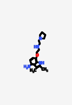 Cc1[nH]c2c(OCCNCCN3CCCC3)ccc(N)c2c1C